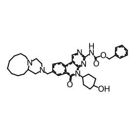 O=C(Nc1ncc2c3ccc(CN4CCN5CCCCCCCCC5C4)cc3c(=O)n(C3CCC(O)CC3)c2n1)OCc1ccccc1